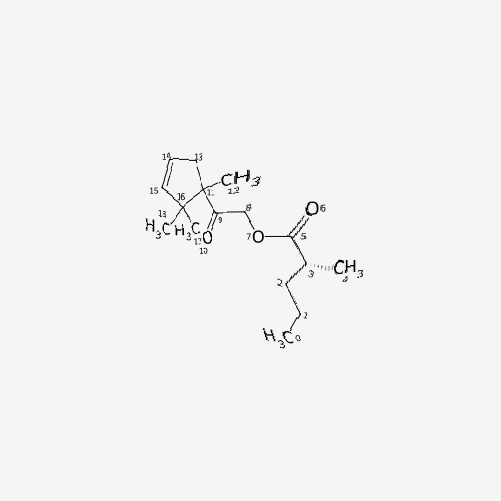 CCC[C@@H](C)C(=O)OCC(=O)C1(C)CC=CC1(C)C